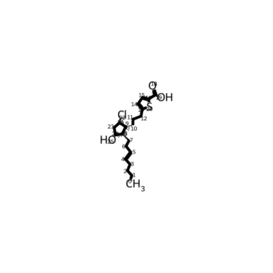 CCCCC=CCC[C@@H]1[C@@H](CCCc2ccc(C(=O)O)s2)[C@H](Cl)C[C@H]1O